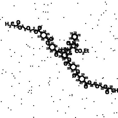 C=CC(=O)OCCOCCOC(=O)C1CCC(C(=O)OC2CCC(C(=O)Oc3ccc(OC(=O)C4CCC(OC(=O)C5CCC(C(=O)OCCOCCOC(=O)C=C)CC5)CC4)c4c3NC(C3C(=O)N(c5ccccc5)N=C3C(=O)OCC)S4)CC2)CC1